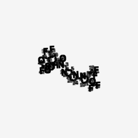 O=C(NCc1cc2nc(-c3ccc(OC(F)F)c([C@@H]4CC4(F)F)n3)ccc2cn1)c1cc(C(F)F)c2c(c1)S(=O)(=O)[C@@H](F)COC2